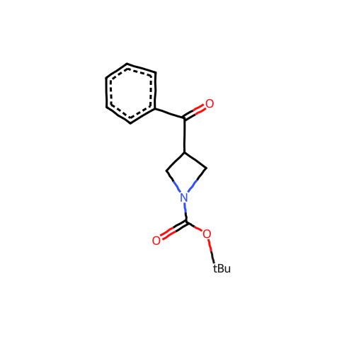 CC(C)(C)OC(=O)N1CC(C(=O)c2ccccc2)C1